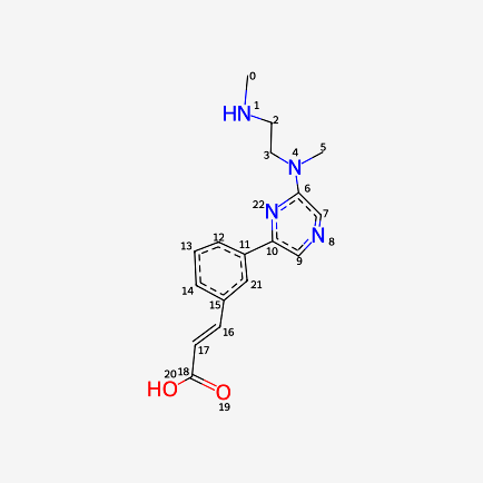 CNCCN(C)c1cncc(-c2cccc(C=CC(=O)O)c2)n1